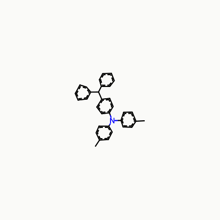 Cc1ccc(N(c2ccc(C)cc2)c2ccc(C(c3ccccc3)c3ccccc3)cc2)cc1